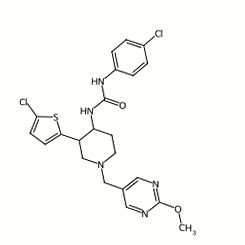 COc1ncc(CN2CCC(NC(=O)Nc3ccc(Cl)cc3)C(c3ccc(Cl)s3)C2)cn1